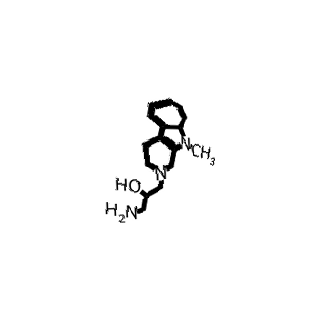 CN1C2=C(CCN(CC(O)CN)C2)C2=CC=CC=CC21